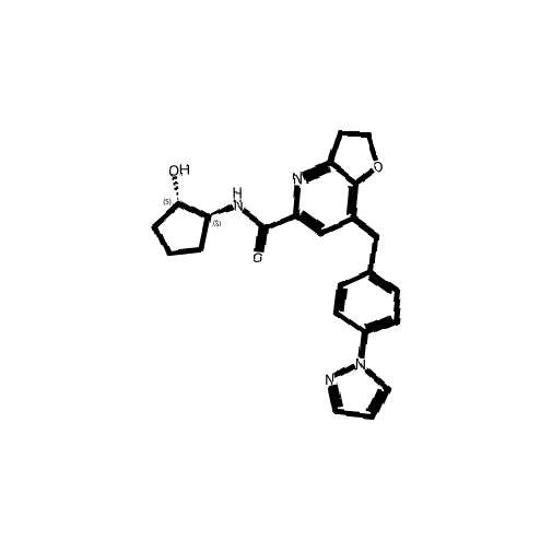 O=C(N[C@H]1CCC[C@@H]1O)c1cc(Cc2ccc(-n3cccn3)cc2)c2c(n1)CCO2